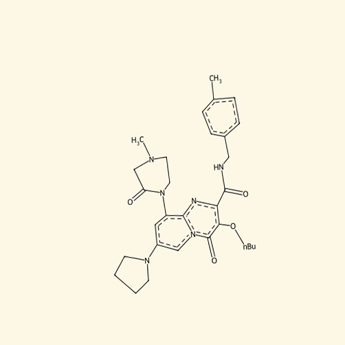 CCCCOc1c(C(=O)NCc2ccc(C)cc2)nc2c(N3CCN(C)CC3=O)cc(N3CCCC3)cn2c1=O